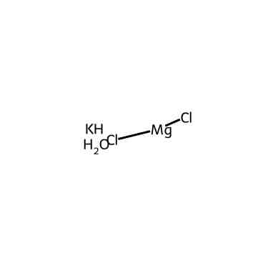 O.[Cl][Mg][Cl].[KH]